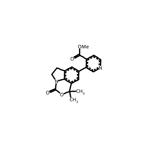 COC(=O)c1ccncc1-c1cc2c3c(c1)C(C)(C)OC(=O)N3CC2